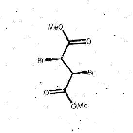 COC(=O)[C@H](Br)[C@@H](Br)C(=O)OC